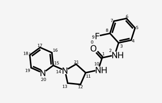 O=C(Nc1ccccc1F)NC1CCN(c2cc[c]cn2)C1